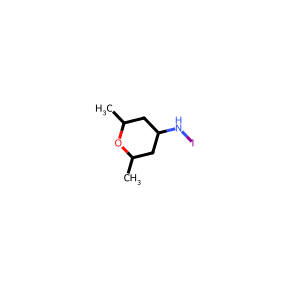 CC1CC(NI)CC(C)O1